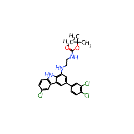 CC(C)(C)OC(=O)NCCNc1cc(-c2ccc(Cl)c(Cl)c2)cc2c1[nH]c1ccc(Cl)cc12